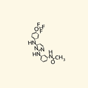 CC(=O)Nc1cccc(Nc2nccc(Nc3ccc(OC(F)(F)F)cc3)n2)c1